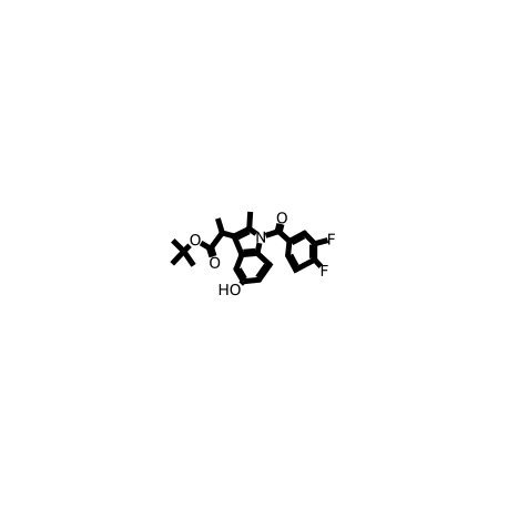 Cc1c(C(C)C(=O)OC(C)(C)C)c2cc(O)ccc2n1C(=O)c1ccc(F)c(F)c1